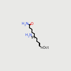 CC(C)N.CCCCCCCCC=CCCCCCCCC(N)=O